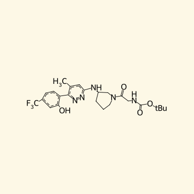 Cc1cc(N[C@@H]2CCCN(C(=O)CNC(=O)OC(C)(C)C)C2)nnc1-c1ccc(C(F)(F)F)cc1O